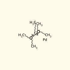 CCCCCCC/C=C/C(/C=N/c1cc(CCCCC)cc(CCCCC)c1)=N\c1cc(CCCCC)cc(CCCCC)c1.[Pd]